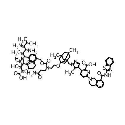 Cc1c(-c2ccc(N3CCc4cccc(C(=O)Nc5nc6ccccc6s5)c4C3)nc2C(=O)O)cnn1CC12CC3(C)CC(C)(C1)CC(OCCN(CCC(N)=O)C(=O)OCc1ccc(C(N)[C@H](C)C(N)[C@@H](N)C(C)C)cc1CCC1O[C@H](C(=O)O)[C@@H](O)[C@H](O)[C@H]1O)(C3)C2